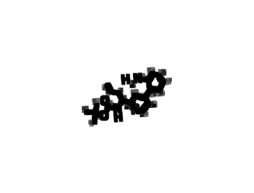 C=CCC(NC(=O)OC(C)(C)C)c1cc(-c2ccccc2N)ccn1